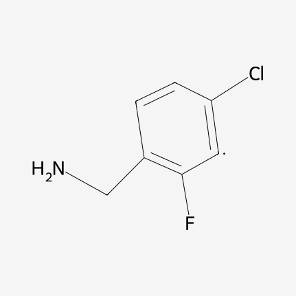 NCc1ccc(Cl)[c]c1F